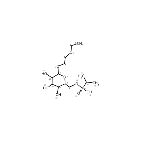 CCOCCOC1OC(COP(=O)(O)C(C)C)C(O)C(O)C1O